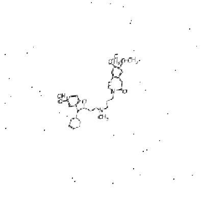 COc1ccc2oc(CCN(C)CCCN3CCc4cc(OC)c(OC)cc4CC3=O)c(-c3ccccc3)c2c1